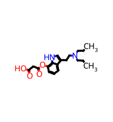 CCCN(CCC)CCc1c[nH]c2c(OC(=O)CC(=O)O)cccc12